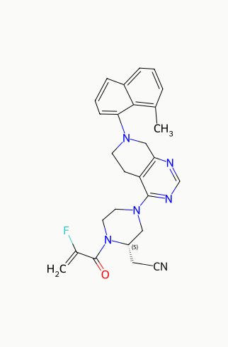 C=C(F)C(=O)N1CCN(c2ncnc3c2CCN(c2cccc4cccc(C)c24)C3)C[C@@H]1CC#N